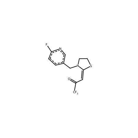 O=C(/C=C1/SCCN1Cc1ccc(F)nc1)C(F)(F)F